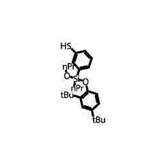 CCCO[Si](CCC)(Oc1ccc(C(C)(C)C)cc1C(C)(C)C)c1cccc(S)c1